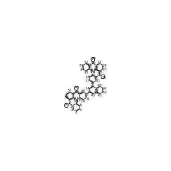 O=c1c2ccccc2n2c3ccc(-c4cc(-c5ccc6c(c5)c(=O)c5cccc7c(=O)c8ccccc8n6c75)c5ccccc5c4)cc3c(=O)c3cccc1c32